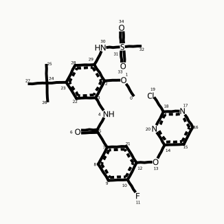 COc1c(NC(=O)c2ccc(F)c(Oc3ccnc(Cl)n3)c2)cc(C(C)(C)C)cc1NS(C)(=O)=O